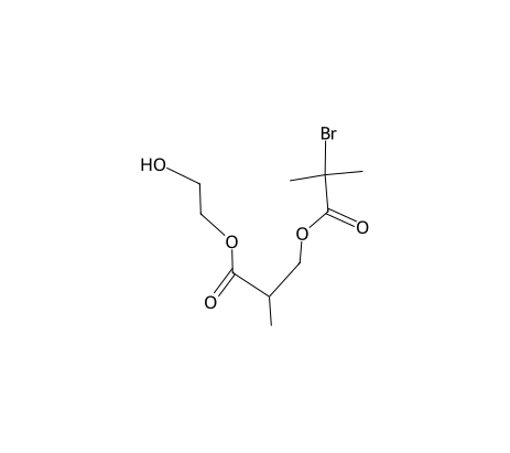 CC(COC(=O)C(C)(C)Br)C(=O)OCCO